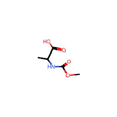 COC(=O)NC(C)C(=O)O